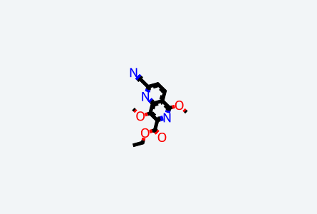 CCOC(=O)c1nc(OC)c2ccc(C#N)nc2c1OC